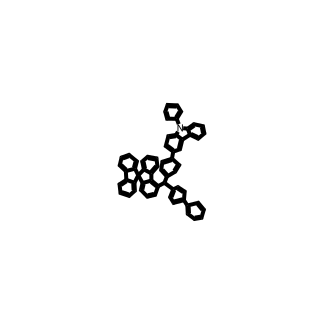 c1ccc(-c2ccc(C(c3ccc(-c4ccc5c(c4)c4ccccc4n5-c4ccccc4)cc3)c3cccc4c3-c3ccccc3C43c4ccccc4-c4ccccc43)cc2)cc1